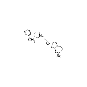 CC(=O)N1CCCc2ccc(OCCCN3CCC(c4ccccc4C)CC3)cc2C1